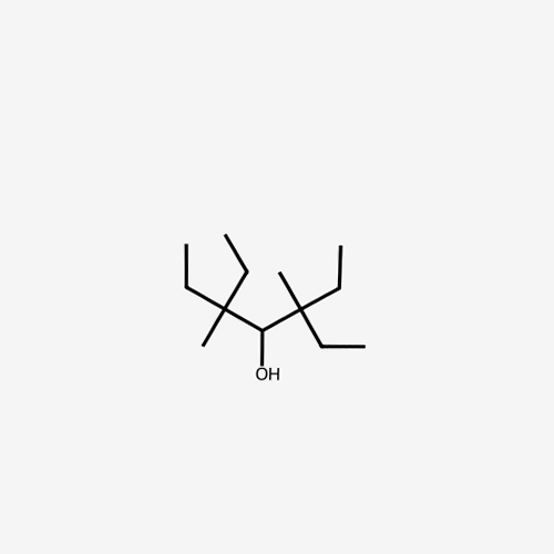 CCC(C)(CC)C(O)C(C)(CC)CC